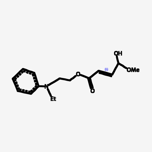 CCN(CCOC(=O)/C=C/C(O)OC)c1ccccc1